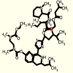 CCOC(=O)N(C)CCN(C)C(=O)Oc1ccc(CC(CC(C)C)NC(=O)c2csc(C(CC(C(C)C)N(COC(=O)CC(C)C)C(=O)C(NC(=O)C3CCCCN3C)C(C)CC)OC(C)=O)n2)cc1